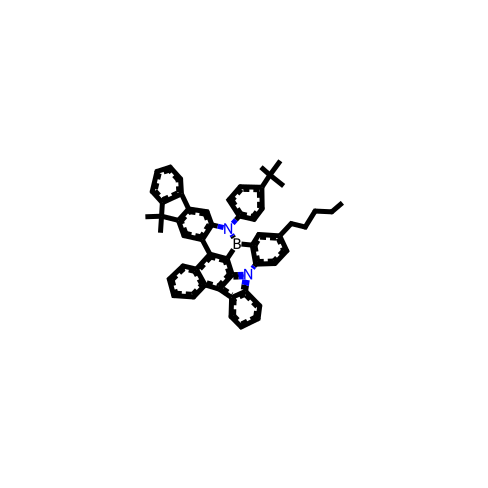 CCCCCc1ccc2c(c1)B1c3c(c4ccccc4c4c5ccccc5n-2c34)-c2cc3c(cc2N1c1ccc(C(C)(C)C)cc1)-c1ccccc1C3(C)C